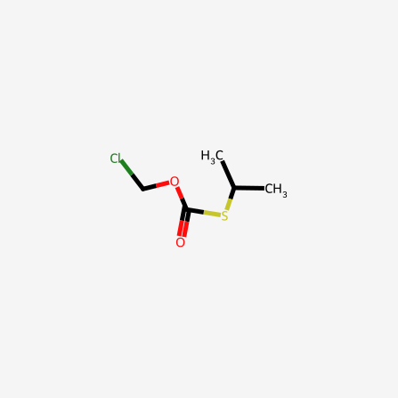 CC(C)SC(=O)OCCl